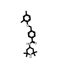 Cc1ccc(OCc2ccc(C(=O)NC3CC(C)(C)NC(C)(C)C3)cc2)c(C)c1